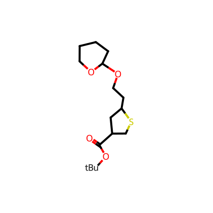 CC(C)(C)OC(=O)C1CSC(CCOC2CCCCO2)C1